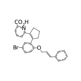 O=C(O)c1cccc(C2=C(c3cc(Br)ccc3OCC=Cc3ccccc3)CCC2)n1